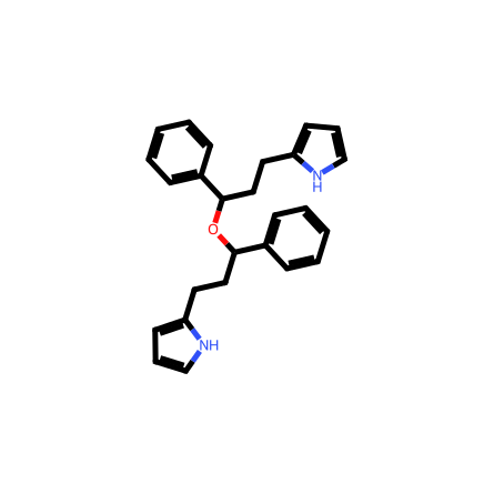 c1ccc(C(CCc2ccc[nH]2)OC(CCc2ccc[nH]2)c2ccccc2)cc1